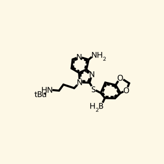 Bc1cc2c(cc1Sc1nc3c(N)nccc3n1CCCNC(C)(C)C)OCO2